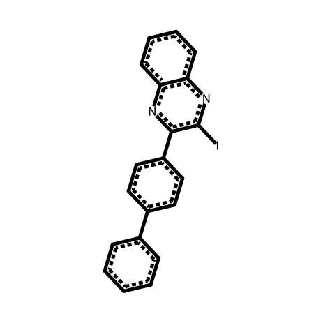 Ic1nc2ccccc2nc1-c1ccc(-c2ccccc2)cc1